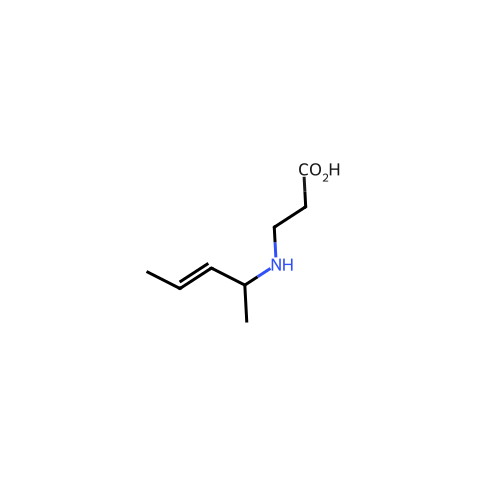 CC=CC(C)NCCC(=O)O